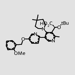 COc1ccccc1COc1ccc(-c2cnc(C)c([C@H](OC(C)(C)C)C(=O)O)c2N2CCC(C)(C)CC2)nc1